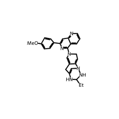 CCC1NC2=CN(N1)C1=CCN(c3nc(-c4ccc(OC)cc4)cc4ncccc34)C=C1C2